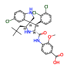 COc1cc(C(=O)O)ccc1NC(=O)[C@@H]1N[C@@H](CC(C)(C)C)[C@@]2(CNc3ccc(Cl)cc32)[C@H]1c1cccc(Cl)c1Cl